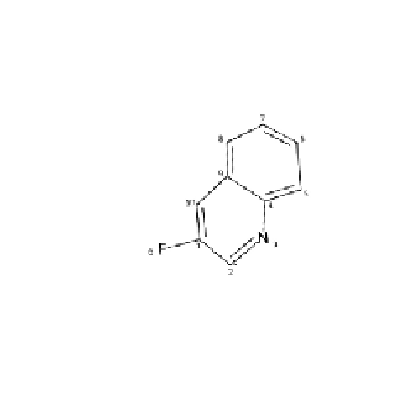 Fc1[c]nc2ccccc2c1